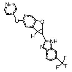 FC(F)(F)c1ccc2nc(C3C4Oc5ccc(Oc6ccncc6)cc5[C@H]43)[nH]c2c1